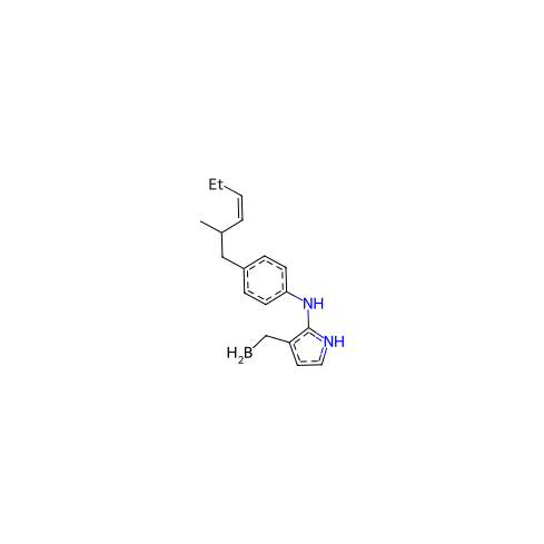 BCc1cc[nH]c1Nc1ccc(CC(C)/C=C\CC)cc1